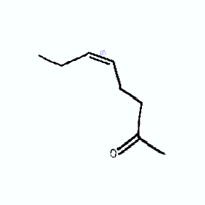 CC/C=C\CCC(C)=O